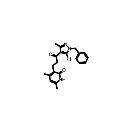 Cc1cc(C)c(CCC(=O)c2c(C)nn(Cc3ccccc3)c2Cl)c(=O)[nH]1